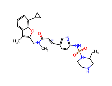 Cc1c(CN(C)C(=O)/C=C/c2ccc(NS(=O)(=O)N3CCNCC3C)nc2)oc2c(C3CC3)cccc12